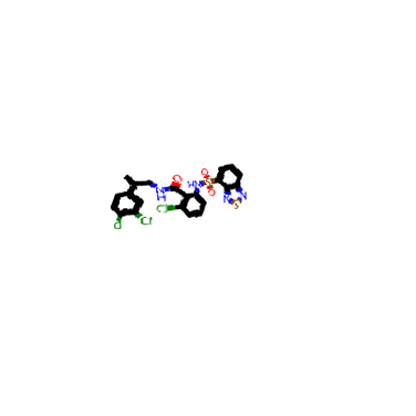 CC(CNC(=O)c1c(Cl)cccc1NS(=O)(=O)c1cccc2nsnc12)c1ccc(Cl)c(Cl)c1